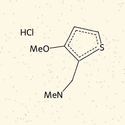 CNCc1sccc1OC.Cl